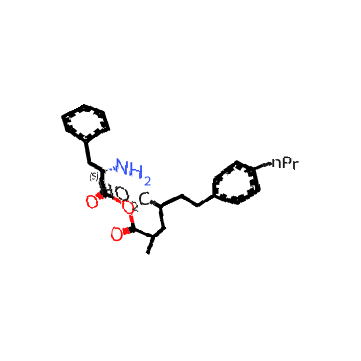 CCCc1ccc(CCC(CC(C)C(=O)OC(=O)[C@@H](N)Cc2ccccc2)C(=O)O)cc1